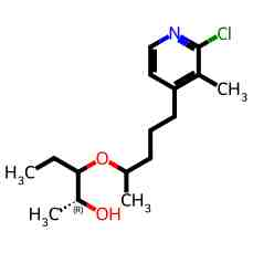 CCC(OC(C)CCCc1ccnc(Cl)c1C)[C@@H](C)O